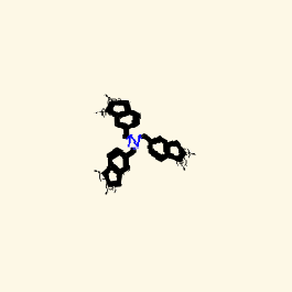 C[C@@H]1Cc2ccc(CN(Cc3ccc4c(c3)C[C@H](C)[C@@H]4C)Cc3ccc4c(c3)C[C@H](C)[C@@H]4C)cc2[C@@H]1C